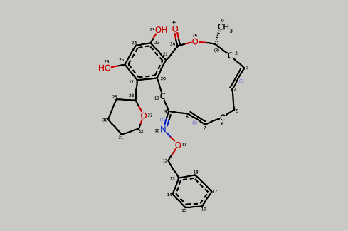 C[C@@H]1C/C=C/CC/C=C/C(=N\OCc2ccccc2)Cc2c(c(O)cc(O)c2C2CCCCO2)C(=O)O1